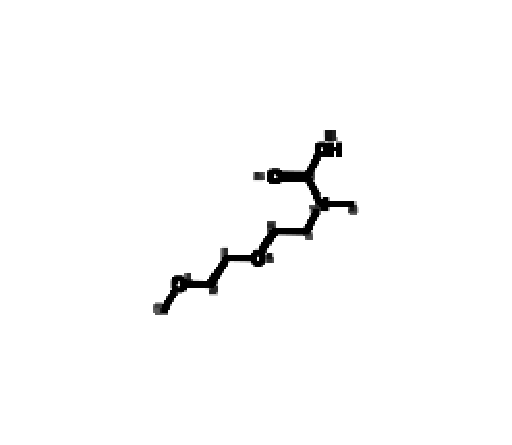 COCCOCCN(C)C(=O)O